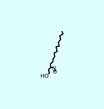 CCCCCCCCCCCCCC(CCO)N=O